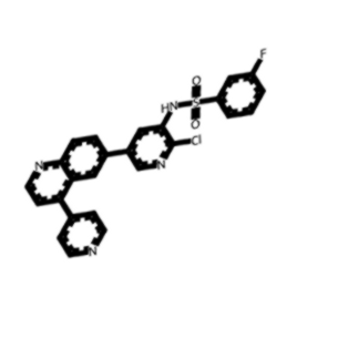 O=S(=O)(Nc1cc(-c2ccc3nccc(-c4ccncc4)c3c2)cnc1Cl)c1cccc(F)c1